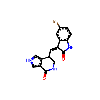 O=C1Nc2ccc(Br)cc2C1=CC1CNC(=O)c2c[nH]cc21